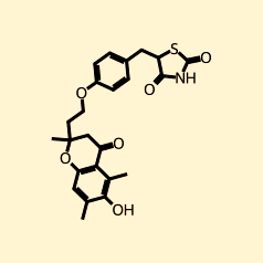 Cc1cc2c(c(C)c1O)C(=O)CC(C)(CCOc1ccc(CC3SC(=O)NC3=O)cc1)O2